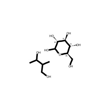 CC(O)C(C)CO.OC[C@H]1OC(O)[C@H](O)[C@@H](O)[C@@H]1O